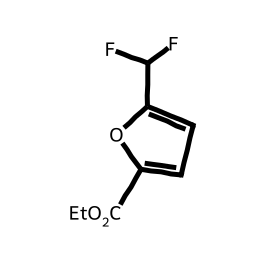 CCOC(=O)c1ccc(C(F)F)o1